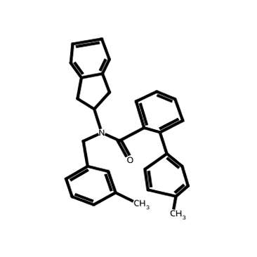 Cc1ccc(-c2ccccc2C(=O)N(Cc2cccc(C)c2)C2Cc3ccccc3C2)cc1